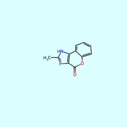 Cc1[nH]c2c(p1)c(=O)oc1ccccc12